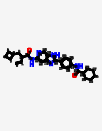 C=CC(CC1CCC1)C(=O)Nc1cc2nc(-c3ccc(NC(=O)C4CCCCC4)cc3)[nH]c2cn1